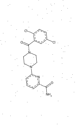 NC(=O)c1[c]ccc(N2CCN(C(=O)c3cc(Cl)ccc3Cl)CC2)n1